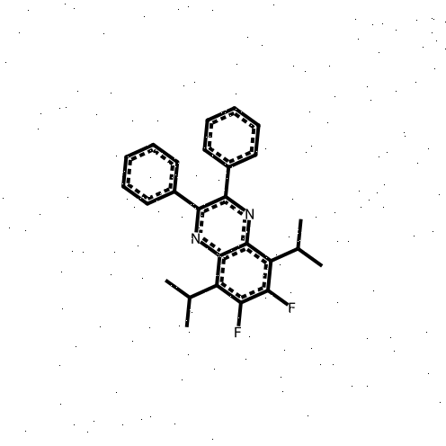 CC(C)c1c(F)c(F)c(C(C)C)c2nc(-c3ccccc3)c(-c3ccccc3)nc12